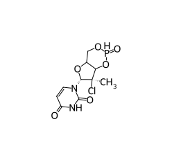 C[C@@]1(Cl)C2O[PH](=O)OCC2O[C@H]1n1ccc(=O)[nH]c1=O